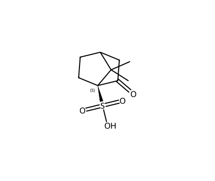 CC1(C)C2CC[C@@]1(S(=O)(=O)O)C(=O)C2